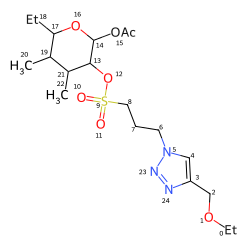 CCOCc1cn(CCCS(=O)(=O)OC2C(OC(C)=O)OC(CC)C(C)C2C)nn1